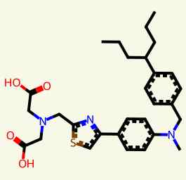 CCCC(CCC)c1ccc(CN(C)c2ccc(-c3csc(CN(CC(=O)O)CC(=O)O)n3)cc2)cc1